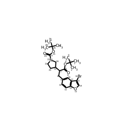 CC(C)(C)OC(=O)C(Cc1ccc2occ(Br)c2c1)C1CCN(C(=O)OC(C)(C)C)C1